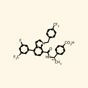 C[C@@H](NC(=O)c1ccc(-c2cc(F)cc(C(F)(F)F)c2)c2ccn(Cc3ccc(C(F)(F)F)cc3)c12)c1ccc(C(=O)O)cc1